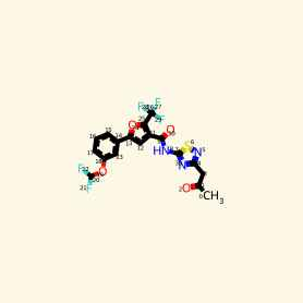 CC(=O)Cc1nsc(NC(=O)c2cc(-c3cccc(OC(F)F)c3)oc2C(F)(F)F)n1